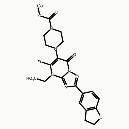 CCc1c(N2CCN(C(=O)OC(C)(C)C)CC2)c(=O)n2nc(-c3ccc4c(c3)CCO4)nc2n1CC(=O)O